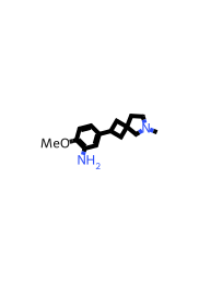 COc1ccc(C2CC3(CCN(C)C3)C2)cc1N